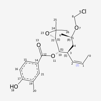 C/C=C\[C@H](C[C@@H](C)OCCl)[C@H](OC(=O)c1ccc(O)c(C)c1)[C@@H]1OC1(C)C